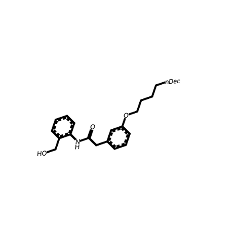 CCCCCCCCCCCCCCOc1cccc(CC(=O)Nc2ccccc2CO)c1